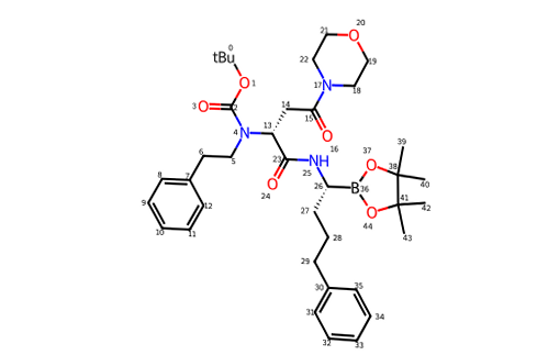 CC(C)(C)OC(=O)N(CCc1ccccc1)[C@H](CC(=O)N1CCOCC1)C(=O)N[C@@H](CCCc1ccccc1)B1OC(C)(C)C(C)(C)O1